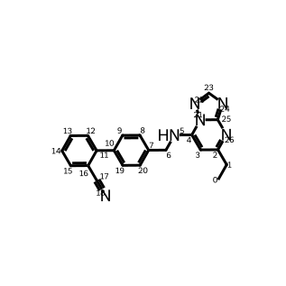 CCc1cc(NCc2ccc(-c3ccccc3C#N)cc2)n2ncnc2n1